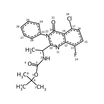 CC(NC(=O)OC(C)(C)C)c1nc2c(F)ccc(Cl)c2c(=O)n1-c1ccccc1